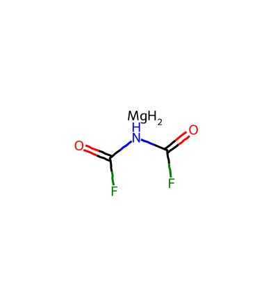 O=C(F)NC(=O)F.[MgH2]